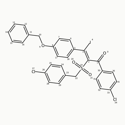 O=C(C(=C(I)c1ccc(OCc2ccccc2)cc1)S(=O)(=O)Cc1ccc(Cl)cc1)c1ccc(Cl)cc1